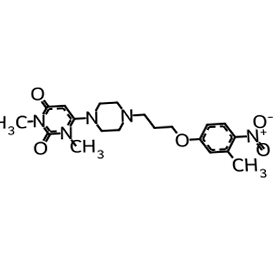 Cc1cc(OCCCN2CCN(c3cc(=O)n(C)c(=O)n3C)CC2)ccc1[N+](=O)[O-]